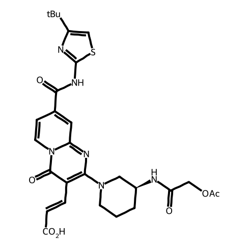 CC(=O)OCC(=O)N[C@H]1CCCN(c2nc3cc(C(=O)Nc4nc(C(C)(C)C)cs4)ccn3c(=O)c2C=CC(=O)O)C1